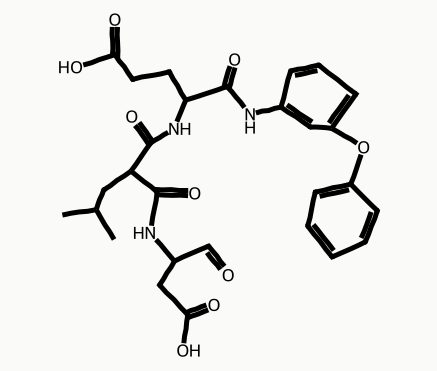 CC(C)CC(C(=O)NC(C=O)CC(=O)O)C(=O)NC(CCC(=O)O)C(=O)Nc1cccc(Oc2ccccc2)c1